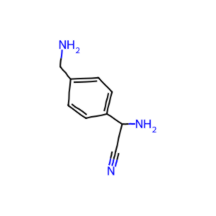 N#CC(N)c1ccc(CN)cc1